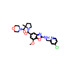 COc1cc(C(=O)N2CCCC2(C)C(=O)N2CCOCC2)cc2nc(NCc3cc(Cl)ccn3)oc12